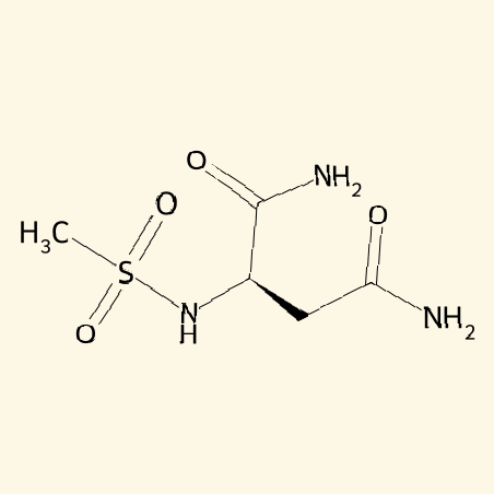 CS(=O)(=O)N[C@H](CC(N)=O)C(N)=O